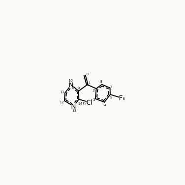 C=C(c1ccc(F)cc1)c1nccnc1Cl